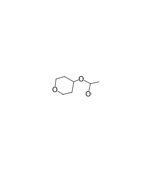 CC([O])OC1CCOCC1